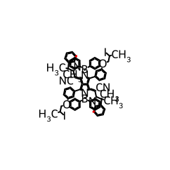 CC(I)COc1cccc(-c2c3/c(=C(\C#N)C4=Nc5ccccc5C4(C)C)n(B(c4ccccc4)c4ccccc4)c(-c4cccc(OCC(C)I)c4)c3/c(=C(\C#N)C3=Nc4ccccc4C3(C)C)n2B(c2ccccc2)c2ccccc2)c1